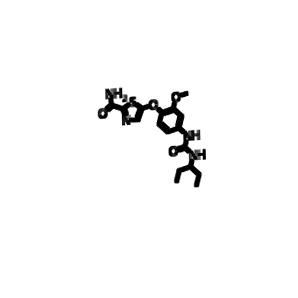 CCC(CC)NC(=O)Nc1ccc(Oc2cnc(C(N)=O)s2)c(OC)c1